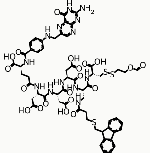 Nc1nc2ncc(CNc3ccc(C(=O)N[C@@H](CCC(=O)N[C@@H](CC(=O)O)C(=O)N[C@@H](CC(=O)O)C(=O)N[C@@H](CC(=O)O)C(=O)N[C@@H](CNC(=O)CCSCC4c5ccccc5-c5ccccc54)C(=O)N[C@@H](CSSCCOC=O)C(=O)O)C(=O)O)cc3)nc2c(=O)[nH]1